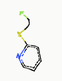 FCSc1ccccn1